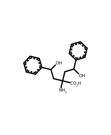 NC(CC(O)c1ccccc1)(CC(O)c1ccccc1)C(=O)O